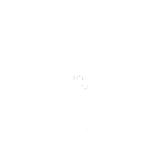 O=C(NNC(=O)c1ccc(F)cc1)c1ccc(F)cc1